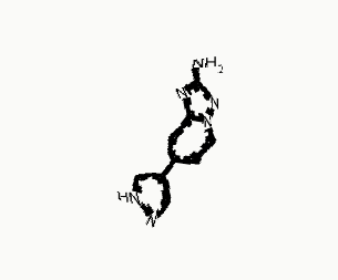 Nc1nc2cc(-c3cn[nH]c3)ccn2n1